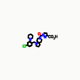 O=C(O)c1ccn(C(=O)N2CCC3(CCCN3Cc3ccc(Cl)cc3N3CCCCC3)CC2)n1